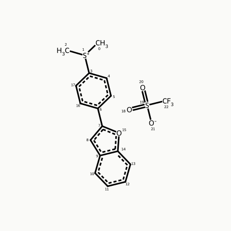 C[S+](C)c1ccc(-c2cc3ccccc3o2)cc1.O=S(=O)([O-])C(F)(F)F